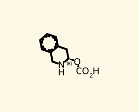 O=C(O)O[C@@H]1Cc2ccccc2CN1